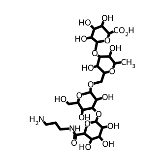 CC1OC(COC2OC(CO)C(O)C(OC3OC(C(=O)NCCCN)C(O)C(O)C3O)C2O)C(O)C(OC2OC(C(=O)O)C(O)C(O)C2O)C1O